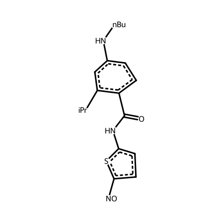 CCCCNc1ccc(C(=O)Nc2ccc(N=O)s2)c(C(C)C)c1